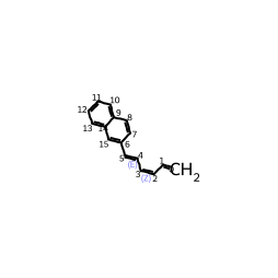 C=C/C=C\C=C\c1ccc2ccccc2c1